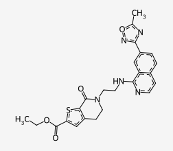 CCOC(=O)c1cc2c(s1)C(=O)N(CCNc1nccc3ccc(-c4noc(C)n4)cc13)CC2